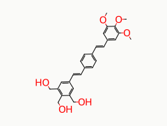 COc1cc(/C=C/c2ccc(/C=C/c3cc(CO)c(CO)c(CO)c3)cc2)cc(OC)c1OC